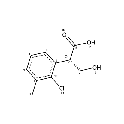 Cc1cccc([C@@H](CO)C(=O)O)c1Cl